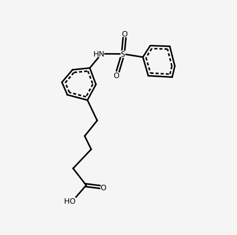 O=C(O)CCCCc1cccc(NS(=O)(=O)c2ccccc2)c1